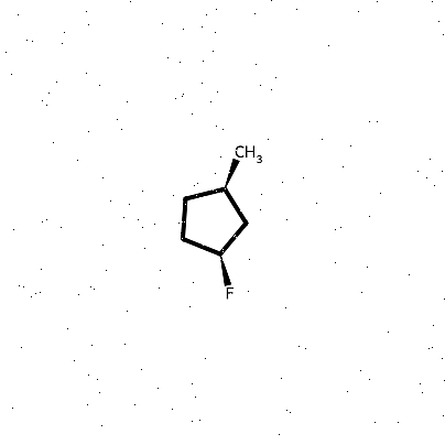 C[C@@H]1CC[C@H](F)C1